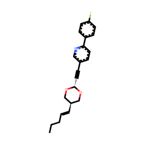 CCCC=C[C@H]1CO[C@H](C#Cc2ccc(-c3ccc(F)cc3)nc2)OC1